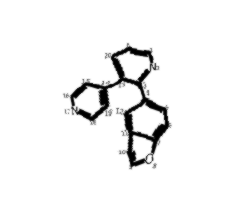 c1cnc(-c2ccc3occc3c2)c(-c2ccncc2)c1